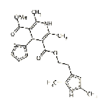 COC(=O)C1=C(C)NC(C)=C(C(=O)OCCc2cc(C)[nH]c2C)C1c1cccs1